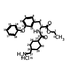 CCOC(=O)[C@H](Cc1cccc(Oc2ccccc2)c1)NC(=O)C1CCC(CN)CC1.Cl